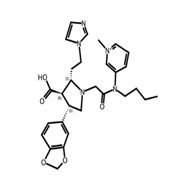 CCCCN(C(=O)CN1C[C@H](c2ccc3c(c2)OCO3)[C@@H](C(=O)O)[C@@H]1CCn1ccnc1)c1ccc[n+](C)c1